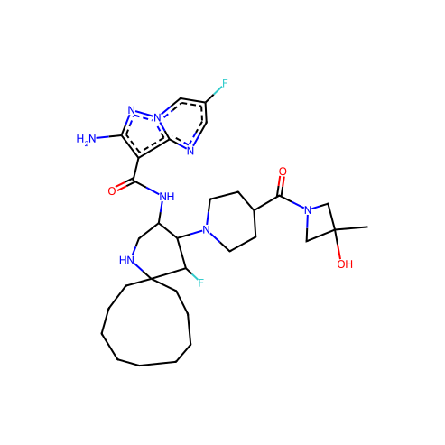 CC1(O)CN(C(=O)C2CCN(C3C(NC(=O)c4c(N)nn5cc(F)cnc45)CNC4(CCCCCCCCC4)C3F)CC2)C1